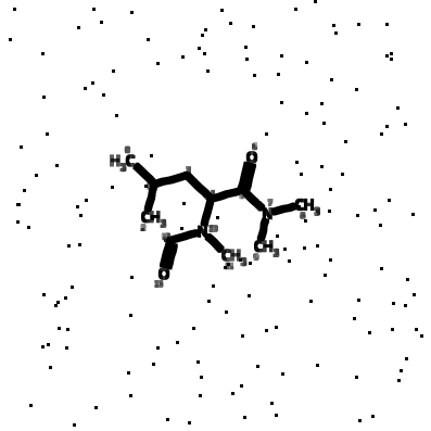 CC(C)CC(C(=O)N(C)C)N(C)[C]=O